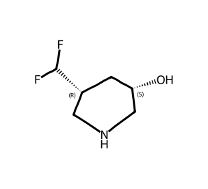 O[C@@H]1CNC[C@H](C(F)F)C1